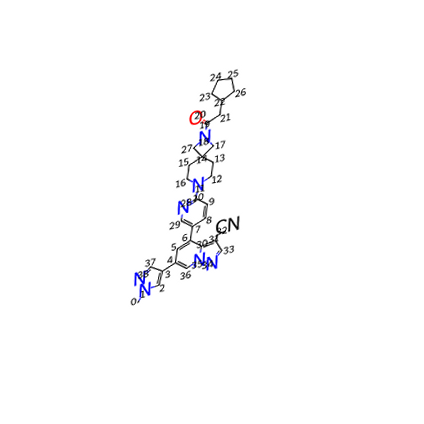 Cn1cc(-c2cc(-c3ccc(N4CCC5(CC4)CN(C(=O)CC4CCCC4)C5)nc3)c3c(C#N)cnn3c2)cn1